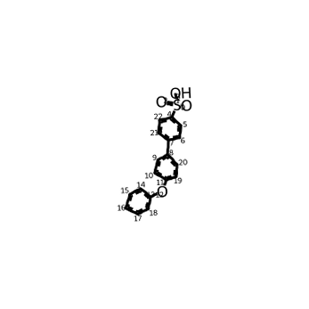 O=S(=O)(O)c1ccc(-c2ccc(Oc3ccccc3)cc2)cc1